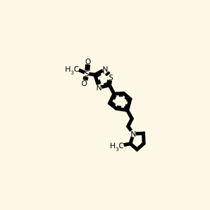 CC1CCCN1CCc1ccc(-c2nc(S(C)(=O)=O)ns2)cc1